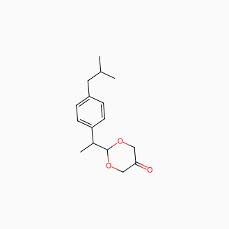 CC(C)Cc1ccc(C(C)C2OCC(=O)CO2)cc1